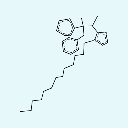 CCCCCCCCCCCCCn1ccnc1C(C)C(C)(Cc1ccccc1)c1ccccc1